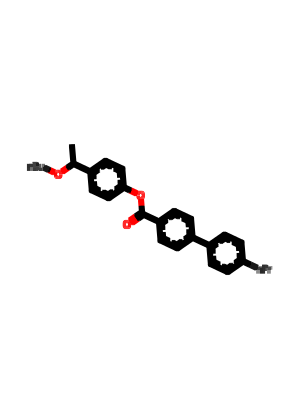 CCCCOC(C)c1ccc(OC(=O)c2ccc(-c3ccc(CCC)cc3)cc2)cc1